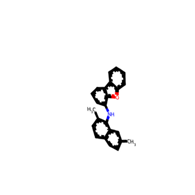 Cc1ccc2ccc(C)c(Nc3cccc4c3oc3ccccc34)c2c1